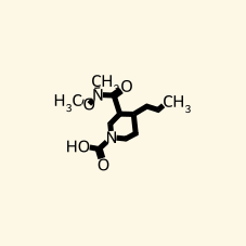 CCCC1CCN(C(=O)O)CC1C(=O)N(C)OC